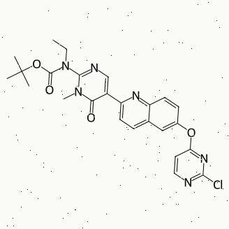 CCN(C(=O)OC(C)(C)C)c1ncc(-c2ccc3cc(Oc4ccnc(Cl)n4)ccc3n2)c(=O)n1C